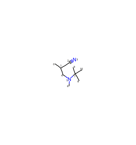 CC(C#N)CN(C)C(C)(C)C